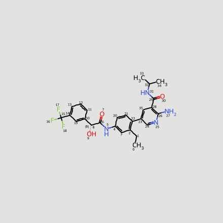 CCc1cc(NC(=O)[C@H](O)c2cccc(C(F)(F)F)c2)ccc1-c1cnc(N)c(C(=O)NC(C)C)c1